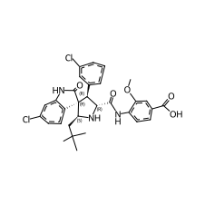 COc1cc(C(=O)O)ccc1NC(=O)[C@@H]1N[C@@H](CC(C)(C)C)[C@@]2(C(=O)Nc3cc(Cl)ccc32)[C@H]1c1cccc(Cl)c1